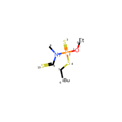 CCOP(=S)(SCC(C)CC)N(C)C=S